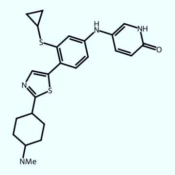 CNC1CCC(c2ncc(-c3ccc(Nc4ccc(=O)[nH]c4)cc3SC3CC3)s2)CC1